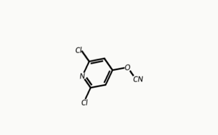 N#COc1cc(Cl)nc(Cl)c1